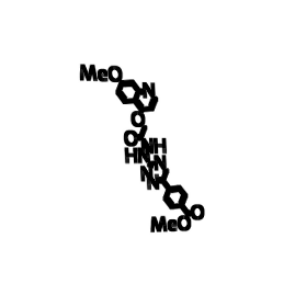 COC(=O)c1ccc(-c2cnc(NNC(=O)COc3ccnc4cc(OC)ccc34)nn2)cc1